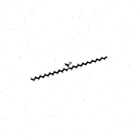 CCCCCCCCCCCCCCCCN(CCCCCCCCCCCCCCCC)C(C)=O